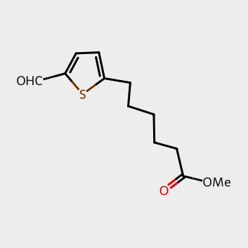 COC(=O)CCCCCc1ccc(C=O)s1